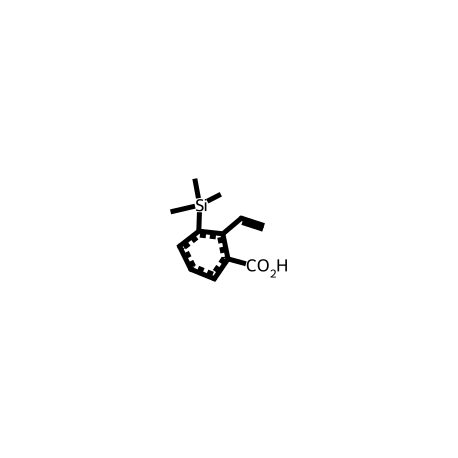 C=Cc1c(C(=O)O)cccc1[Si](C)(C)C